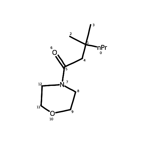 CCCC(C)(C)CC(=O)N1CCOCC1